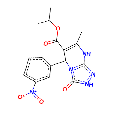 CC1=C(C(=O)OC(C)C)C(c2cccc([N+](=O)[O-])c2)n2c(n[nH]c2=O)N1